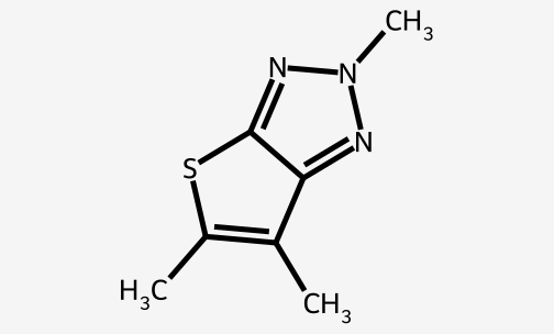 Cc1sc2nn(C)nc2c1C